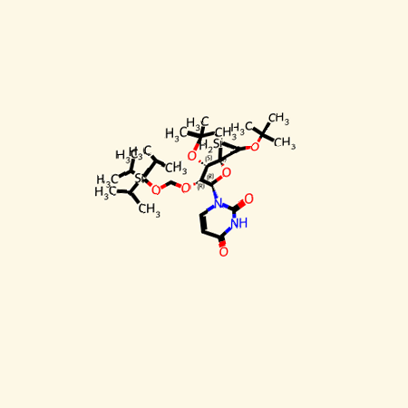 CC(C)[Si](OCO[C@H]1[C@H](n2ccc(=O)[nH]c2=O)O[C@@]2([SiH2]C2OC(C)(C)C)[C@H]1OC(C)(C)C)(C(C)C)C(C)C